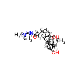 CC[C@H]1[C@@H](O)[C@@H]2[C@H](CC[C@]3(C)[C@@H]([C@H](C)CCC(=O)NCCN(C)C)CC[C@@H]23)[C@@]2(C)CC[C@@H](O)C[C@@H]12